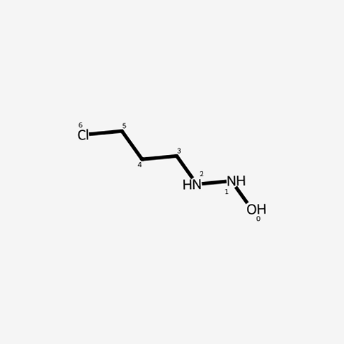 ONNCCCCl